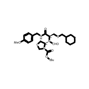 COc1ccc(CNC(=O)[C@@H](CSCC2CCCCC2)N(C=O)[C@H]2CSCN2C(=O)OC(C)(C)C)cc1